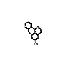 N#Cc1ccc2c(-c3ccccc3C#N)nncc2c1